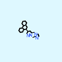 Cc1nccn1Cc1cc(-c2cc3ccccc3c3ccccc23)cnn1